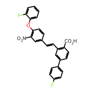 O=C(O)c1ccc(-c2ccc(F)cc2)cc1/C=C/c1ccc(Oc2ccccc2F)c([N+](=O)[O-])c1